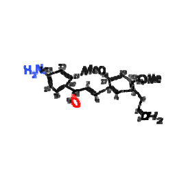 C=CCc1cc(C=CC(=O)c2ccc(N)cc2)c(OC)cc1OC